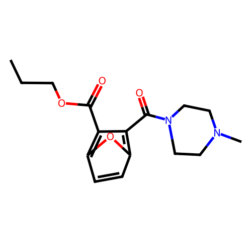 CCCOC(=O)c1c(C(=O)N2CCN(C)CC2)c2ccc1o2